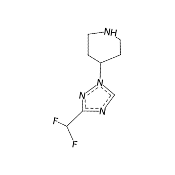 FC(F)c1ncn(C2CCNCC2)n1